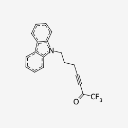 O=C(C#CCCCn1c2ccccc2c2ccccc21)C(F)(F)F